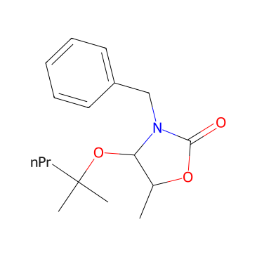 CCCC(C)(C)OC1C(C)OC(=O)N1Cc1ccccc1